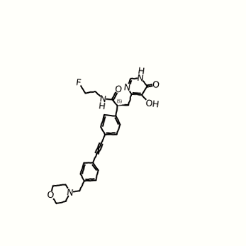 O=C(NCCF)[C@@H](Cc1nc[nH]c(=O)c1O)c1ccc(C#Cc2ccc(CN3CCOCC3)cc2)cc1